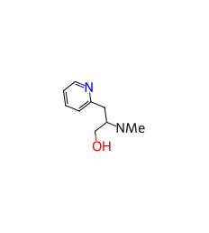 CNC(CO)Cc1ccccn1